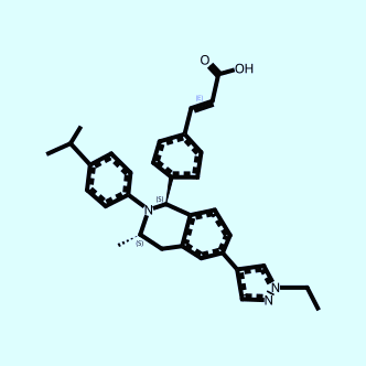 CCn1cc(-c2ccc3c(c2)C[C@H](C)N(c2ccc(C(C)C)cc2)[C@H]3c2ccc(/C=C/C(=O)O)cc2)cn1